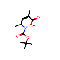 CC(=C[C@H](C)NC(=O)OC(C)(C)C)C(=O)O